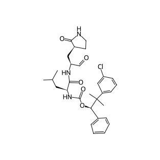 CC(C)C[C@H](NC(=O)O[C@H](c1ccccc1)C(C)(C)c1cccc(Cl)c1)C(=O)N[C@H](C=O)C[C@@H]1CCNC1=O